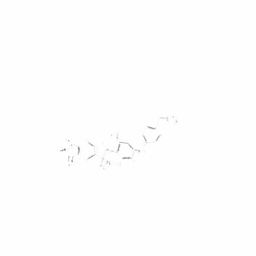 CC(c1ccc(Oc2ccc(CC#N)cc2)cc1Cl)C(O)(c1ccc2c(c1)n(C)c(=O)n2C)C(F)(F)F